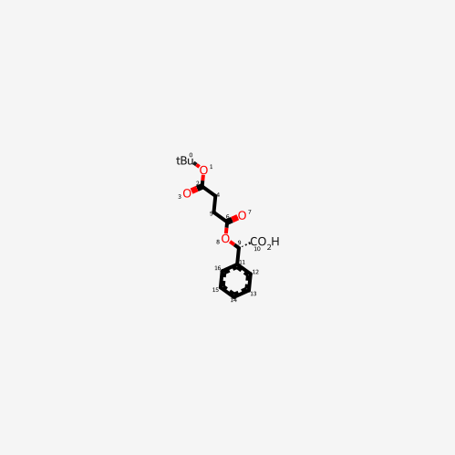 CC(C)(C)OC(=O)CCC(=O)O[C@H](C(=O)O)c1ccccc1